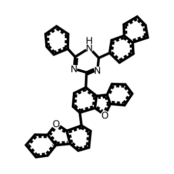 c1ccc(C2=NC(c3ccc(-c4cccc5c4oc4ccccc45)c4oc5ccccc5c34)=NC(c3ccc4ccccc4c3)N2)cc1